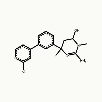 CN1C(N)=NC(C)(c2cccc(-c3ccnc(Cl)c3)c2)CC1O